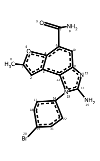 Cc1cc2c(o1)c(C(N)=O)cc1nc(N)n(-c3ccc(Br)cc3)c12